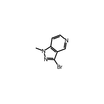 Cn1nc(Br)c2cnccc21